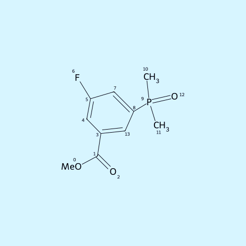 COC(=O)c1cc(F)cc(P(C)(C)=O)c1